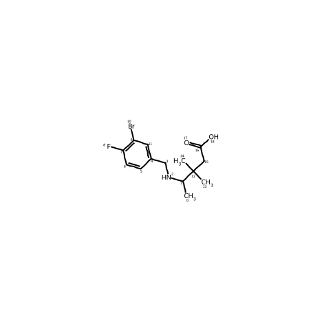 CC(NCc1ccc(F)c(Br)c1)C(C)(C)CC(=O)O